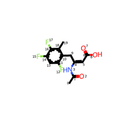 CC(=O)NC(=CC(=O)O)Cc1c(F)cc(F)c(F)c1C